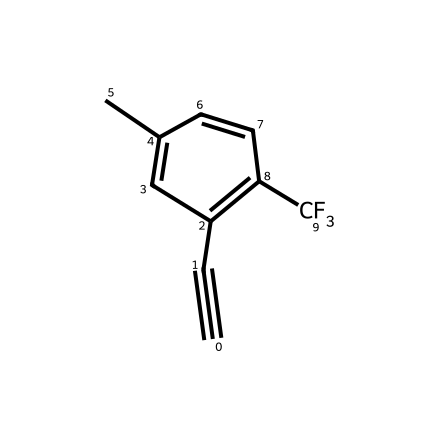 C#Cc1cc(C)ccc1C(F)(F)F